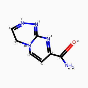 NC(=O)C1=NC2=NN=CCN2C=C1